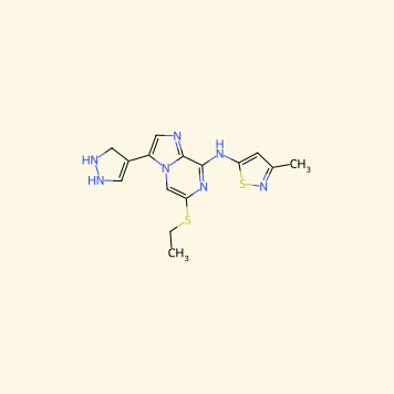 CCSc1cn2c(C3=CNNC3)cnc2c(Nc2cc(C)ns2)n1